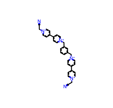 N#CC[n+]1ccc(-c2cc[n+](Cc3cccc(C[n+]4ccc(-c5cc[n+](CC#N)cc5)cc4)c3)cc2)cc1